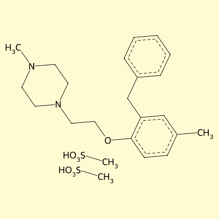 CS(=O)(=O)O.CS(=O)(=O)O.Cc1ccc(OCCN2CCN(C)CC2)c(Cc2ccccc2)c1